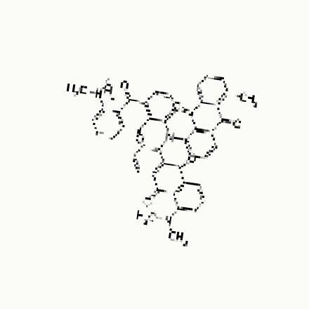 Cc1cccc2c1C(=O)c1cccc(N(c3cccc4c3C(=O)c3cccc(N(C)C)c3C4=O)c3cccc4c3C(=O)c3cccc(N(C)C)c3C4=O)c1C2=O